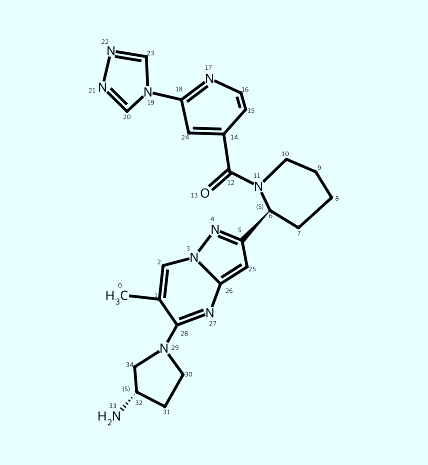 Cc1cn2nc([C@@H]3CCCCN3C(=O)c3ccnc(-n4cnnc4)c3)cc2nc1N1CC[C@H](N)C1